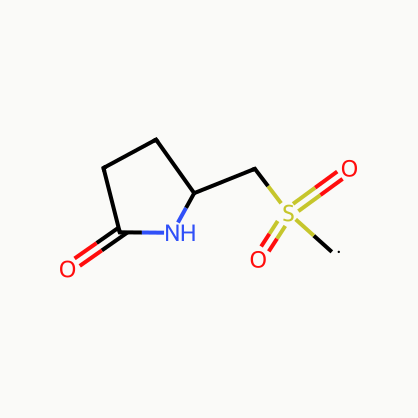 [CH2]S(=O)(=O)CC1CCC(=O)N1